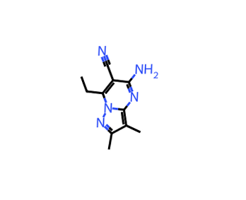 CCc1c(C#N)c(N)nc2c(C)c(C)nn12